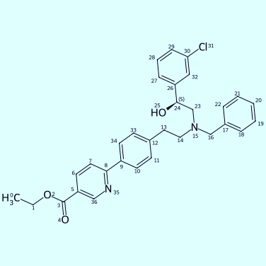 CCOC(=O)c1ccc(-c2ccc(CCN(Cc3ccccc3)C[C@@H](O)c3cccc(Cl)c3)cc2)nc1